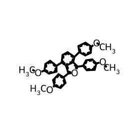 COc1ccc(-c2ccc(-c3ccc(OC)cc3)c3c(-c4ccc(OC)cc4)oc(-c4ccc(OC)cc4)c23)cc1